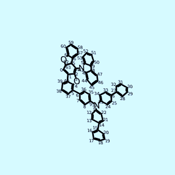 C1=c2c(oc3c(-c4ccc(N(c5ccc(-c6ccccc6)cc5)c5ccc(-c6ccccc6)cc5)cc4)cccc23)=C(n2c3ccccc3c3ccccc32)C2c3ccccc3OC12